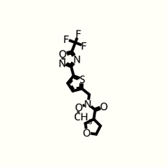 CON(Cc1ccc(-c2noc(C(F)(F)F)n2)s1)C(=O)C1CCOC1